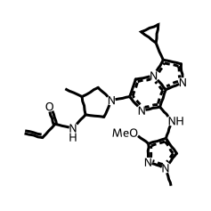 C=CC(=O)NC1CN(c2cn3c(C4CC4)cnc3c(Nc3cn(C)nc3OC)n2)CC1C